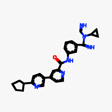 N=CN(C(=N)c1cccc(NC(=O)c2cc(-c3ccc(C4CCCC4)nc3)ccn2)c1)C1CC1